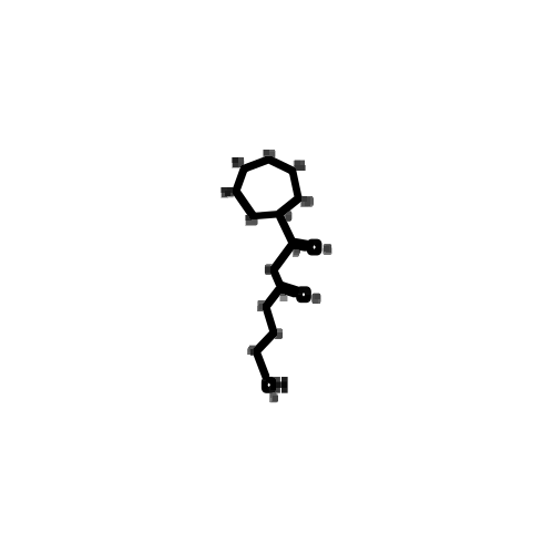 O=C(CCCO)CC(=O)C1CCCCCC1